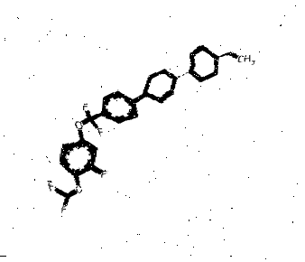 CC[C@H]1CC[C@H](C2CCC(c3ccc(C(F)(F)Oc4ccc(OC(F)F)c(F)c4)cc3)CC2)CC1